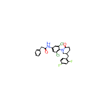 O=C(Cc1ccccc1)Nc1cc(Cl)c(N2CC(Cc3ccc(F)cc3F)CCC2=O)c(Cl)c1